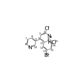 Cl.Clc1cc(-c2cccnc2)c2cc(Br)ccc2n1